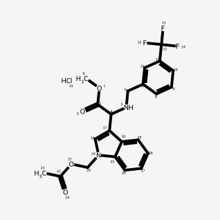 COC(=O)C(NCc1cccc(C(F)(F)F)c1)c1cn(COC(C)=O)c2ccccc12.Cl